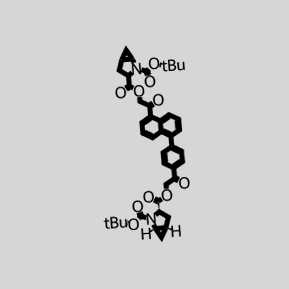 CC(C)(C)OC(=O)N1C(C(=O)OCC(=O)c2cccc3c(-c4ccc(C(=O)COC(=O)[C@@H]5C[C@H]6C[C@H]6N5C(=O)OC(C)(C)C)cc4)cccc23)CC2CC21